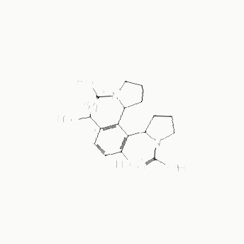 Cc1ccc(C(C)C)c(C2CCCN2C(=O)O)c1C1CCCN1C(=O)O